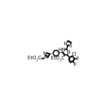 CCOC(=O)Cn1cc([C@H]2CC[C@H](C3=C(C(=O)OCC)C(c4ccc(F)c(F)c4Cl)N=C(c4nccs4)N3)CC2)cn1